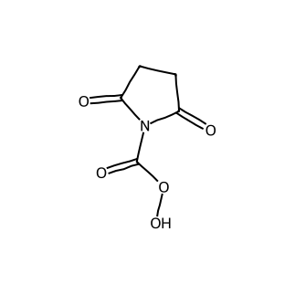 O=C1CCC(=O)N1C(=O)OO